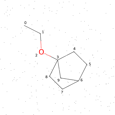 CCOC12CCC(CC1)C2